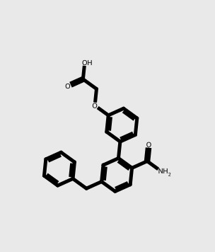 NC(=O)c1ccc(Cc2ccccc2)cc1-c1cccc(OCC(=O)O)c1